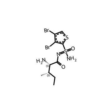 CC[C@H](C)[C@H](N)C(=O)N=S(N)(=O)c1scc(Br)c1Br